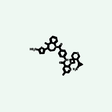 CC1=C(c2ccc(C(=O)O)s2)CCN(C(=O)c2ccc(NC(=O)c3cc(C)cnc3N3CC4(CCOCC4C4CC4N)C3)cc2)c2ccccc21